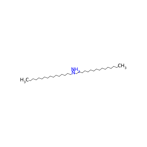 CCCCCCCCCCCCCCCCN(N)CCCCCCCCCCCCCCCC